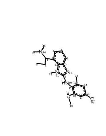 CCC(c1cccc2nc(Nc3c(C)cc(Cl)cc3OC)n(C)c12)N(C)C